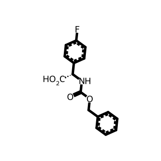 O=C(N[C@H](C(=O)O)c1ccc(F)cc1)OCc1ccccc1